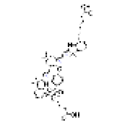 CC1(C)C2=CC=CN(CCCCCC(=O)O)C2=N/C1=C/C=C1\C[N+](C)(C)CC(/C=C/C2=Nc3c(ccc[n+]3CCCCCC(=O)O)C2(C)C)=C1Oc1ccc(S(=O)(=O)O)cc1